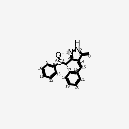 C=c1[nH]nc(C[S+]([O-])c2ccccc2)c1=Cc1ccccc1